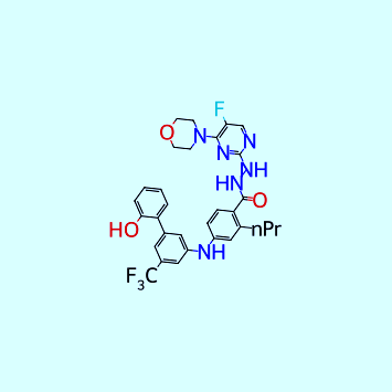 CCCc1cc(Nc2cc(-c3ccccc3O)cc(C(F)(F)F)c2)ccc1C(=O)NNc1ncc(F)c(N2CCOCC2)n1